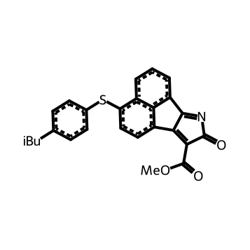 CCC(C)c1ccc(Sc2ccc3c4c(cccc24)C2=NC(=O)C(C(=O)OC)=C23)cc1